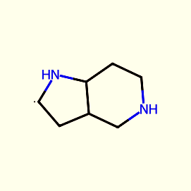 [CH]1CC2CNCCC2N1